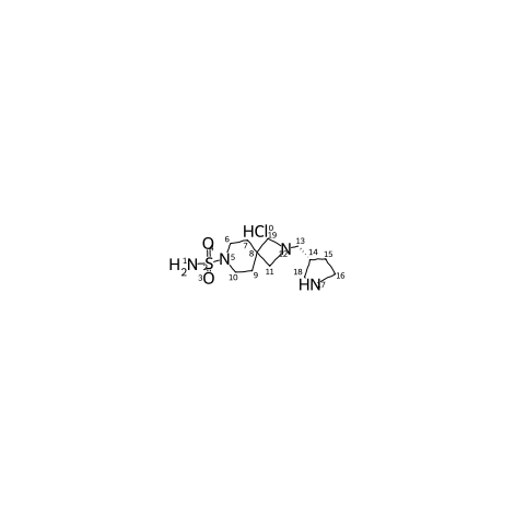 Cl.NS(=O)(=O)N1CCC2(CC1)CN(C[C@@H]1CCNC1)C2